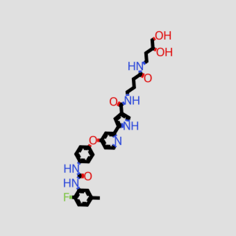 Cc1ccc(F)c(NC(=O)Nc2ccc(Oc3ccnc(-c4cc(C(=O)NCCCC(=O)NCCC(O)CO)c[nH]4)c3)cc2)c1